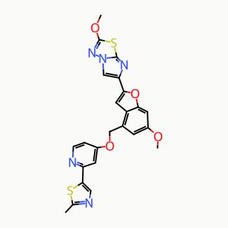 COc1cc(COc2ccnc(-c3cnc(C)s3)c2)c2cc(-c3cn4nc(OC)sc4n3)oc2c1